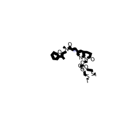 Cc1c(CN(C)C(=O)/C=C/c2cnc3c(c2)CCC(=O)N3COP(=O)(OCCSI)OCCSI)oc2ccccc12